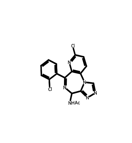 CC(=O)NC1N=C(c2ccccc2Cl)c2nc(Cl)ccc2-n2cnnc21